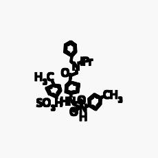 Cc1ccc(NS(=O)(=O)Nc2ccc(C(=O)CN(Cc3ccccc3)C(C)C)cc2)cc1.Cc1ccc(S(=O)(=O)O)cc1